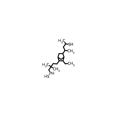 CCC1C(CCC(C)(C)CPS)C2CC(C(C)CC(C)S)C1C2